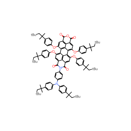 CC(C)(C)CC(C)(C)c1ccc(Oc2cc3c4c(cc(Oc5ccc(C(C)(C)CC(C)(C)C)cc5)c5c6c(Oc7ccc(C(C)(C)CC(C)(C)C)cc7)cc7c8c(cc(Oc9ccc(C(C)(C)CC(C)(C)C)cc9)c(c2c45)c86)C(=O)N(c2ccc(N(c4ccc(C(C)(C)CC(C)(C)C)cc4)c4ccc(C(C)(C)CC(C)(C)C)cc4)cc2)C7=O)C(=O)OC3=O)cc1